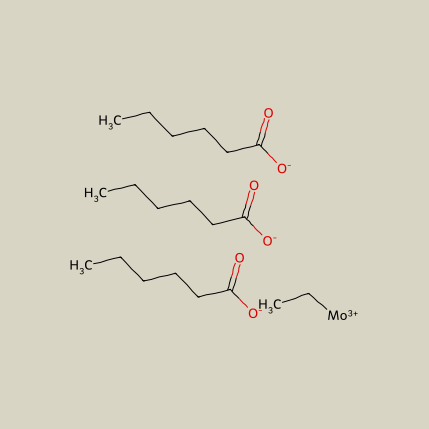 CCCCCC(=O)[O-].CCCCCC(=O)[O-].CCCCCC(=O)[O-].C[CH2][Mo+3]